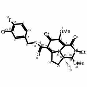 CCN1C(=O)c2c(OC)c(=O)c(C(=O)NCc3ccc(F)c(Cl)c3)c3n2[C@H](CC3)[C@@H]1OC